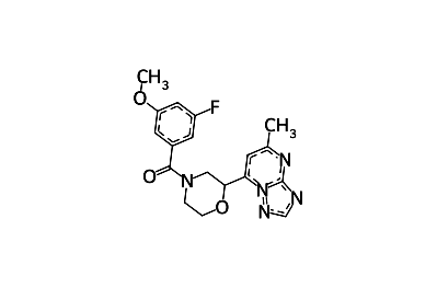 COc1cc(F)cc(C(=O)N2CCOC(c3cc(C)nc4ncnn34)C2)c1